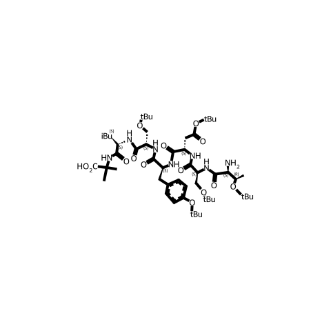 CC[C@H](C)[C@H](NC(=O)[C@H](COC(C)(C)C)NC(=O)[C@H](Cc1ccc(OC(C)(C)C)cc1)NC(=O)[C@H](CC(=O)OC(C)(C)C)NC(=O)[C@H](COC(C)(C)C)NC(=O)[C@@H](N)[C@@H](C)OC(C)(C)C)C(=O)NC(C)(C)C(=O)O